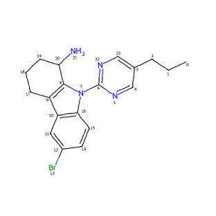 CCCc1cnc(-n2c3c(c4cc(Br)ccc42)CCCC3N)nc1